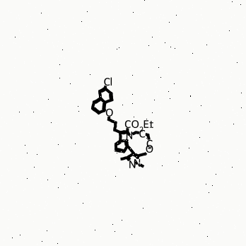 CCOC(=O)c1c(CCCOc2cccc3cc(Cl)ccc23)c2cccc3c2n1CCCCOCc1c-3c(C)nn1C